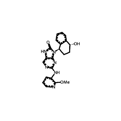 COc1ncccc1Nc1ncc2[nH]c(=O)n([C@@H]3CC[C@@H](O)c4ccccc43)c2n1